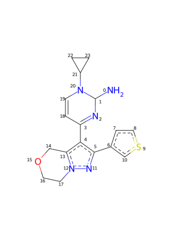 NC1N=C(c2c(-c3ccsc3)nn3c2COCC3)C=CN1C1CC1